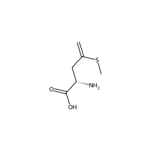 C=C(C[C@H](N)C(=O)O)SC